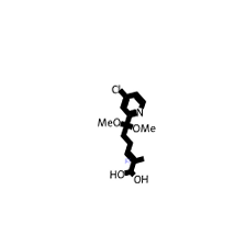 COC(CC/C=C(\C)C(O)O)(OC)c1cc(Cl)ccn1